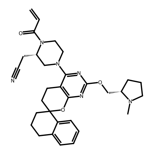 C=CC(=O)N1CCN(c2nc(OC[C@@H]3CCCN3C)nc3c2CCC2(CCCc4ccccc42)O3)C[C@@H]1CC#N